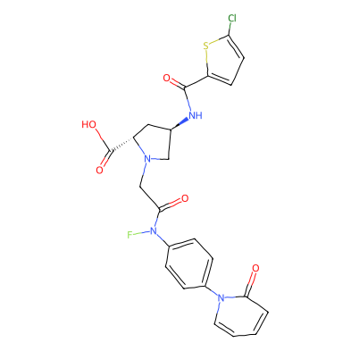 O=C(N[C@@H]1C[C@@H](C(=O)O)N(CC(=O)N(F)c2ccc(-n3ccccc3=O)cc2)C1)c1ccc(Cl)s1